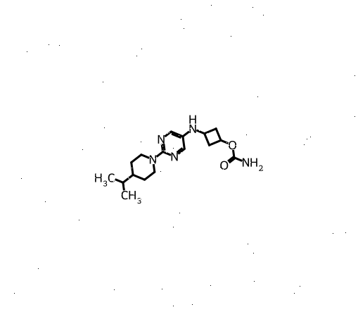 CC(C)C1CCN(c2ncc(NC3CC(OC(N)=O)C3)cn2)CC1